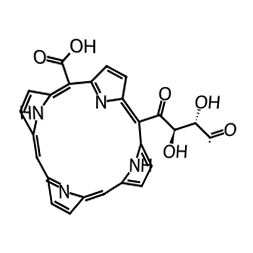 O=[C][C@@H](O)[C@@H](O)C(=O)c1c2nc(c(C(=O)O)c3ccc(cc4nc(cc5ccc1[nH]5)C=C4)[nH]3)C=C2